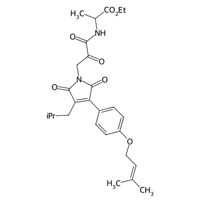 CCOC(=O)C(C)NC(=O)C(=O)CN1C(=O)C(CC(C)C)=C(c2ccc(OCC=C(C)C)cc2)C1=O